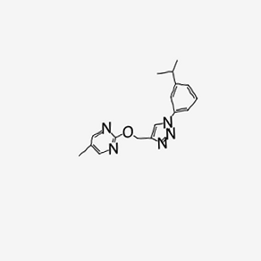 Cc1cnc(OCc2cn(-c3cccc(C(C)C)c3)nn2)nc1